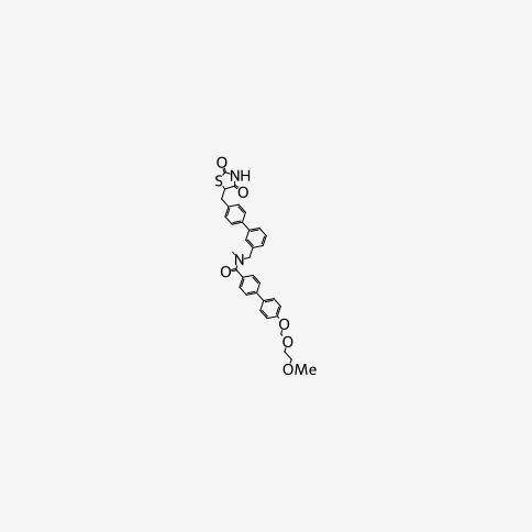 COCCOCOc1ccc(-c2ccc(C(=O)N(C)Cc3cccc(-c4ccc(CC5SC(=O)NC5=O)cc4)c3)cc2)cc1